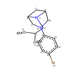 COC(CN1C2CC1CN(c1ccc(Br)cc1)C2)OC